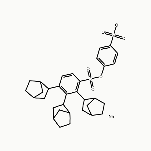 O=S(=O)([O-])c1ccc(OS(=O)(=O)c2ccc(C3CC4CCC3C4)c(C3CC4CCC3C4)c2C2CC3CCC2C3)cc1.[Na+]